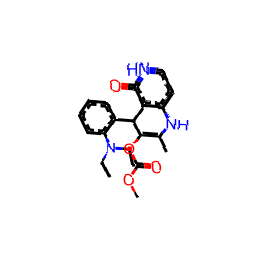 CCN(CC)c1ccccc1C1C(OC(=O)OC)=C(C)Nc2cc[nH]c(=O)c21